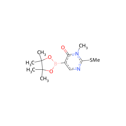 CSc1ncc(B2OC(C)(C)C(C)(C)O2)c(=O)n1C